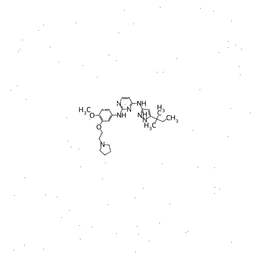 CCC(C)(C)c1cc(Nc2ccnc(Nc3ccc(OC)c(OCCN4CCCC4)c3)n2)n[nH]1